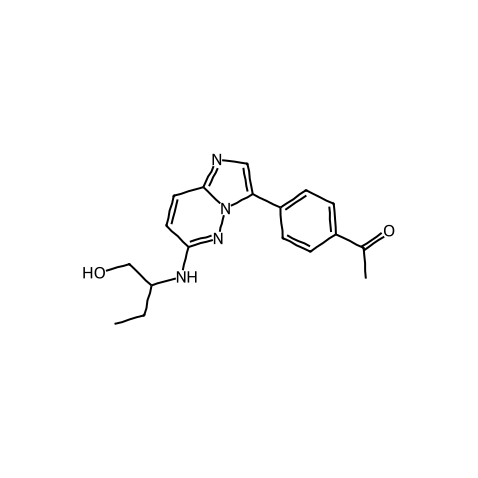 CCC(CO)Nc1ccc2ncc(-c3ccc(C(C)=O)cc3)n2n1